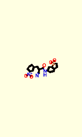 N#CC(=Cc1cccc([N+](=O)[O-])c1)C(=O)Nc1ccc2c(c1)S(=O)(=O)C=C2